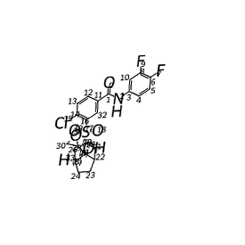 O=C(Nc1ccc(F)c(F)c1)c1ccc(Cl)c(S(=O)(=O)[C@@H]2CC3CC[C@@H](C2)[C@@]3(O)C2CO2)c1